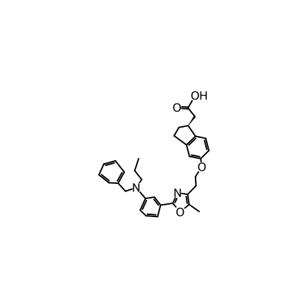 CCCN(Cc1ccccc1)c1cccc(-c2nc(CCOc3ccc4c(c3)CC[C@H]4CC(=O)O)c(C)o2)c1